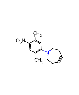 Cc1cc([N+](=O)[O-])c(C)cc1N1CCC#CCC1